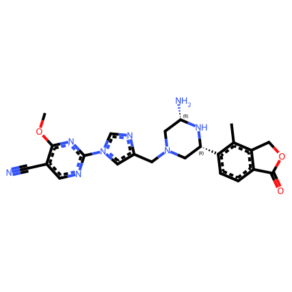 COc1nc(-n2cnc(CN3C[C@@H](c4ccc5c(c4C)COC5=O)N[C@@H](N)C3)c2)ncc1C#N